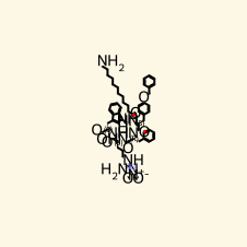 NCCCCCCCCCCCC(=O)N[C@@H](Cc1ccc(OCc2ccccc2)cc1)C(=O)N[C@H](Cc1ccccc1)C(=O)N[C@@H](CCCN/C(N)=N/[N+](=O)[O-])C(=O)N[C@@H](Cc1c[nH]c2ccccc12)C(=O)O